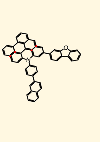 c1ccc(-c2cccc3cccc(-c4ccccc4N(c4ccc(-c5ccc6ccccc6c5)cc4)c4cccc(-c5ccc6c(c5)oc5ccccc56)c4)c23)cc1